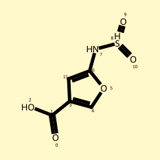 O=C(O)c1coc(N[SH](=O)=O)c1